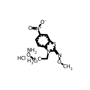 CCn1c(=NOC)sc2cc([N+](=O)[O-])ccc21.CON.Cl